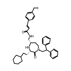 O=C(/C=C/c1ccc(CI)cc1)NC[C@@H]1CCN(CC(c2ccccc2)c2ccccc2)C(=O)[C@H](CCC2CCCCC2)N1